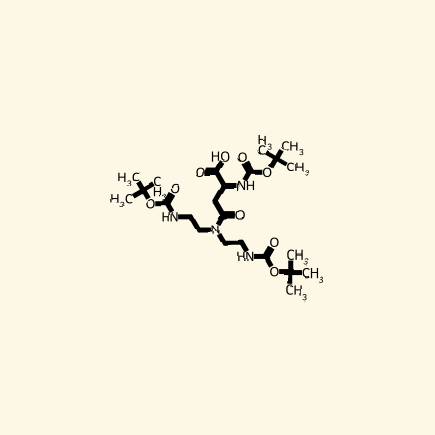 CC(C)(C)OC(=O)NCCN(CCNC(=O)OC(C)(C)C)C(=O)CC(NC(=O)OC(C)(C)C)C(=O)O